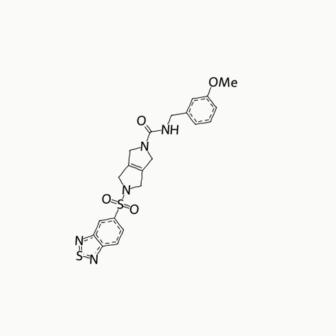 COc1cccc(CNC(=O)N2CC3=C(C2)CN(S(=O)(=O)c2ccc4nsnc4c2)C3)c1